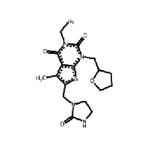 Cc1c(CN2CCNC2=O)sc2c1c(=O)n(CC(C)C)c(=O)n2CC1CCCO1